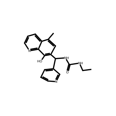 CCNC(=O)NC(c1cccnc1)c1cc(C)c2cccnc2c1O